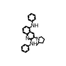 CC1CCCN1c1cc2c(Nc3ccccc3)cccc2nc1Nc1ccccc1